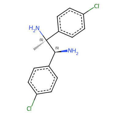 C[C@](N)(c1ccc(Cl)cc1)[C@@H](N)c1ccc(Cl)cc1